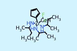 CCC(C)[NH][Zr]([NH]C(C)CC)([NH]C(C)CC)([C]1=CC=CC1)[GeH]([F])[F]